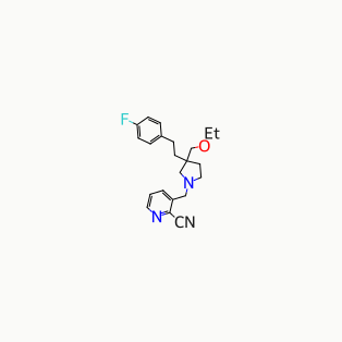 CCOCC1(CCc2ccc(F)cc2)CCN(Cc2cccnc2C#N)C1